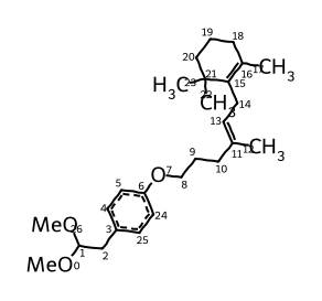 COC(Cc1ccc(OCCCC(C)=CCC2=C(C)CCCC2(C)C)cc1)OC